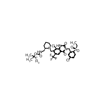 CCS(=O)(=O)c1ccc(Cl)cc1Cn1c(=O)[nH]c2c(Cl)c(CN3CCCC[C@@H]3CNC(=O)OC(C)(C)C)c(C(F)(F)F)cc2c1=O